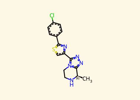 C[C@H]1NCCn2c(-c3csc(-c4ccc(Cl)cc4)n3)nnc21